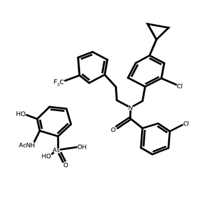 CC(=O)Nc1c(O)cccc1[As](=O)(O)O.O=C(c1cccc(Cl)c1)N(CCc1cccc(C(F)(F)F)c1)Cc1ccc(C2CC2)cc1Cl